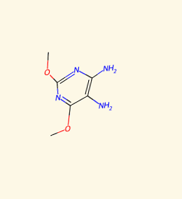 COc1nc(N)c(N)c(OC)n1